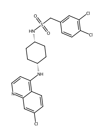 O=S(=O)(Cc1ccc(Cl)c(Cl)c1)N[C@H]1CC[C@@H](Nc2ccnc3cc(Cl)ccc23)CC1